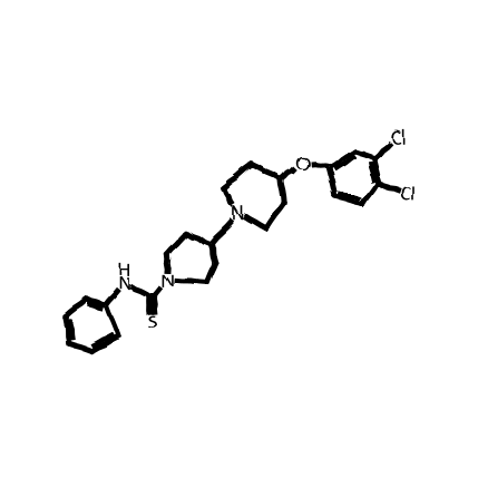 S=C(Nc1ccccc1)N1CCC(N2CCC(Oc3ccc(Cl)c(Cl)c3)CC2)CC1